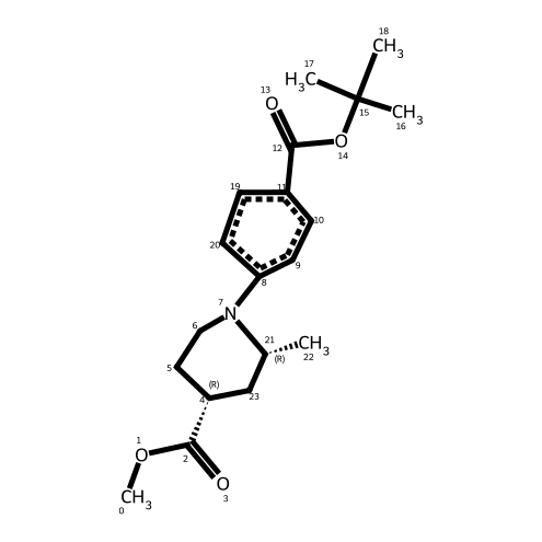 COC(=O)[C@@H]1CCN(c2ccc(C(=O)OC(C)(C)C)cc2)[C@H](C)C1